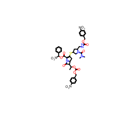 CC(OC(=O)OCc1ccc([N+](=O)[O-])cc1)C1C(=O)N2C(C(=O)OC(c3ccccc3)[N+](=O)[O-])=C(SC3CC(CNC(=O)OCc4ccc([N+](=O)[O-])cc4)N(C(=O)N(C)C)C3)CC12